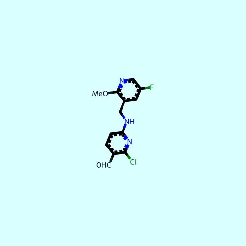 COc1ncc(F)cc1CNc1ccc(C=O)c(Cl)n1